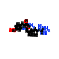 CN[C@@H](CCCCNC(=N)N)CC(=O)N[C@@H](Cc1ccc(O)cc1)C(N)=O